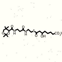 CC1(C)OCC(C)(C)C(C(=O)NCCC(=O)NCCSC(=O)CC(O)CCCCC(=O)O)O1